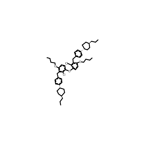 CCCCOc1ccc(Oc2ccc(OCCCC)c(Cc3ccc([C@H]4CC[C@H](CCC)CC4)cc3)c2Cl)c(Cl)c1Cc1ccc([C@H]2CC[C@H](CCC)CC2)cc1